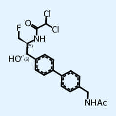 CC(=O)NCc1ccc(-c2ccc([C@H](O)[C@@H](CF)NC(=O)C(Cl)Cl)cc2)cc1